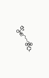 Cc1ccc(S(=O)(=O)CCCCCC2CCN(C(=O)c3cccs3)C2)cc1